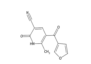 Cc1[nH]c(=O)c(C#N)cc1C(=O)c1ccoc1